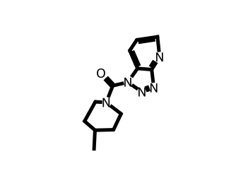 CC1CCN(C(=O)n2nnc3ncccc32)CC1